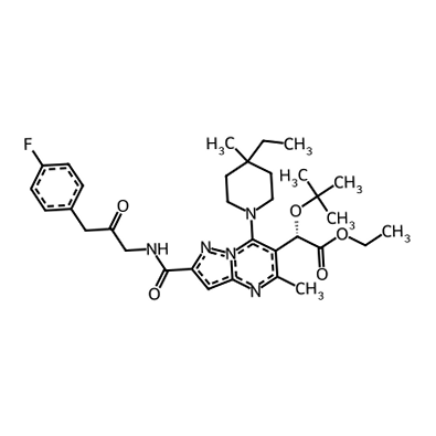 CCOC(=O)[C@@H](OC(C)(C)C)c1c(C)nc2cc(C(=O)NCC(=O)Cc3ccc(F)cc3)nn2c1N1CCC(C)(CC)CC1